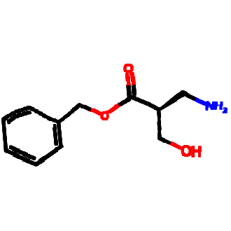 NC[C@@H](CO)C(=O)OCc1ccccc1